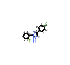 Fc1ccccc1-c1nc(-c2ccc(Cl)cc2)c[nH]1